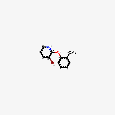 COc1ccccc1Oc1ncccc1Br